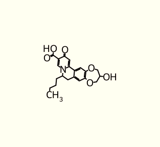 CCCCC1Cc2cc3c(cc2-c2cc(=O)c(C(=O)O)cn21)OCC(O)CO3